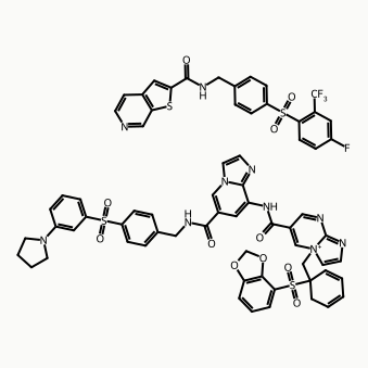 O=C(NCc1ccc(S(=O)(=O)c2ccc(F)cc2C(F)(F)F)cc1)c1cc2ccncc2s1.O=C(Nc1cc(C(=O)NCc2ccc(S(=O)(=O)c3cccc(N4CCCC4)c3)cc2)cn2ccnc12)C1=C[N+]2(CC3(S(=O)(=O)c4cccc5c4OCO5)C=CC=CC3)C=CN=C2N=C1